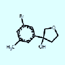 Cc1cc(Br)cc(C2(O)CCOC2)c1